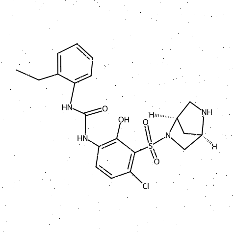 CCc1ccccc1NC(=O)Nc1ccc(Cl)c(S(=O)(=O)N2C[C@H]3C[C@@H]2CN3)c1O